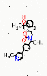 Cc1cc(-c2ccc([C@H](C)N3CC[C@](CC(C)(C)O)(c4ccccc4)OC3=O)cc2)ccn1